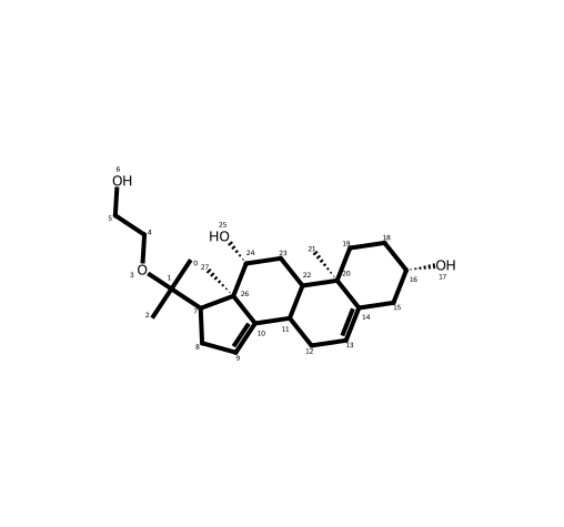 CC(C)(OCCO)C1CC=C2C3CC=C4C[C@@H](O)CC[C@]4(C)C3C[C@@H](O)[C@@]21C